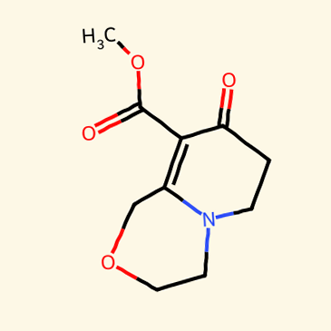 COC(=O)C1=C2COCCN2CCC1=O